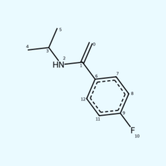 C=C(NC(C)C)c1ccc(F)cc1